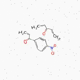 C=CC(=O)C=C.C=CC(=O)c1ccc([N+](=O)[O-])cc1